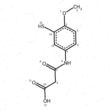 COc1ccc(NC(=O)CC(=O)O)cc1S